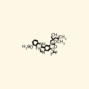 CCC1(CC(C)C)CN(c2cc3c(Nc4cccc(OC)c4F)ncnc3cc2OC(F)F)C(=O)O1